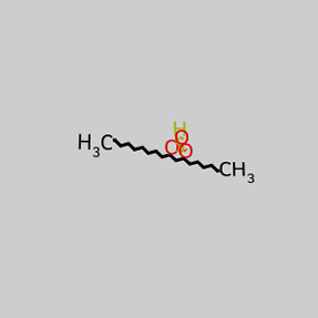 CCCCCCCCCC(CCCCCCCC)O[SH](=O)=O